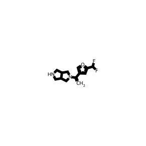 C=C(c1coc(C(F)F)c1)N1CC2CNCC2C1